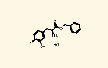 Cl.NC(Cc1ccc(O)c(O)c1)C(=O)OCc1ccccc1